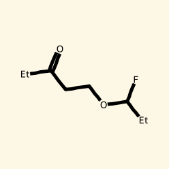 CCC(=O)CCOC(F)CC